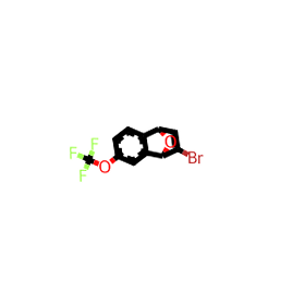 FC(F)(F)Oc1ccc2c(c1)C1OC2C=C1Br